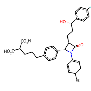 CCC1C=CC(N2C(=O)[C@H](CC[C@H](O)c3ccc(F)cc3)[C@H]2c2ccc(CCCC(C(=O)O)C(=O)O)cc2)=CC1